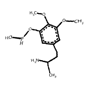 COc1cc(CC(C)N)cc(OPO)c1OC